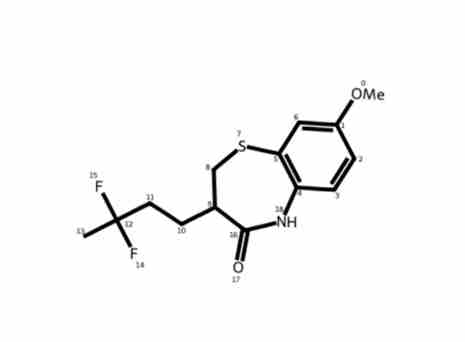 COc1ccc2c(c1)SCC(CCC(C)(F)F)C(=O)N2